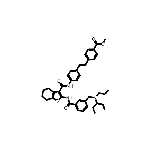 CCCN(Cc1cccc(C(=O)Nc2sc3c(c2C(=O)Nc2ccc(CCc4ccc(C(=O)OC)cc4)cc2)CCCC3)c1)C(CC)CC